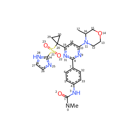 CNC(=O)Nc1ccc(-c2nc(N3CCOCC3C)cc(C3(S(=O)(=O)c4ncc[nH]4)CC3)n2)cc1